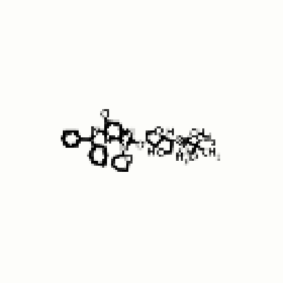 CC(C)(C)[Si](C)(C)O[C@@H]1CO[C@H]2[C@@H]1OC[C@H]2Oc1nc2cc(Cl)c(N=C(c3ccccc3)c3ccccc3)nc2n1C1CCCCO1